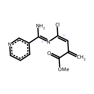 C=C(/C=C(Cl)\N=C(/N)c1cccnc1)C(=O)OC